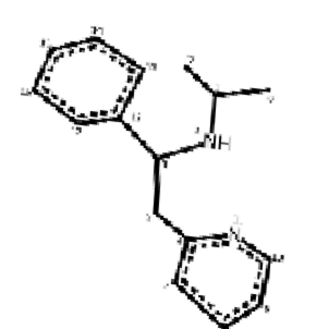 CC(C)NC(Cc1ccccn1)c1ccccc1